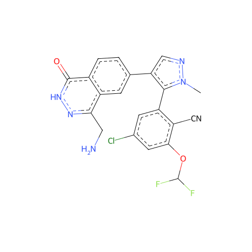 Cn1ncc(-c2ccc3c(=O)[nH]nc(CN)c3c2)c1-c1cc(Cl)cc(OC(F)F)c1C#N